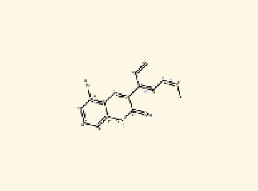 C=C/C(=C\C=C/C)c1cc2c(Br)cccc2[nH]c1=O